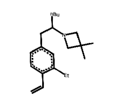 C=Cc1ccc(CC(CCCC)N2CC(C)(C)C2)cc1CC